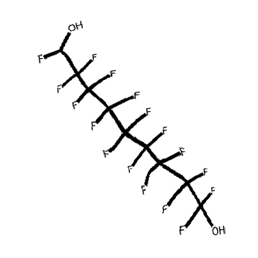 OC(F)C(F)(F)C(F)(F)C(F)(F)C(F)(F)C(F)(F)C(F)(F)C(F)(F)C(O)(F)F